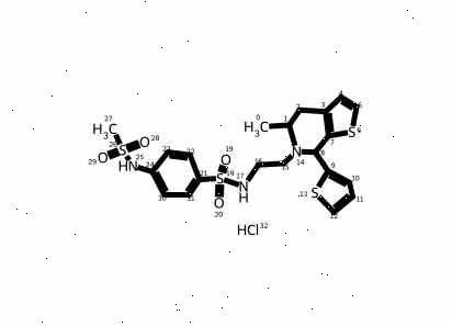 CC1Cc2ccsc2C(c2cccs2)N1CCNS(=O)(=O)c1ccc(NS(C)(=O)=O)cc1.Cl